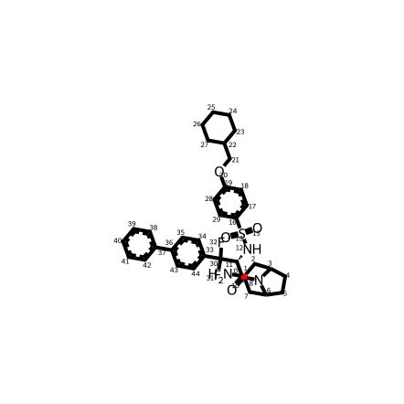 NC1CC2CCC(C1)N2C(=O)[C@@H](NS(=O)(=O)c1ccc(OCC2CCCCC2)cc1)C(F)(F)c1ccc(-c2ccccc2)cc1